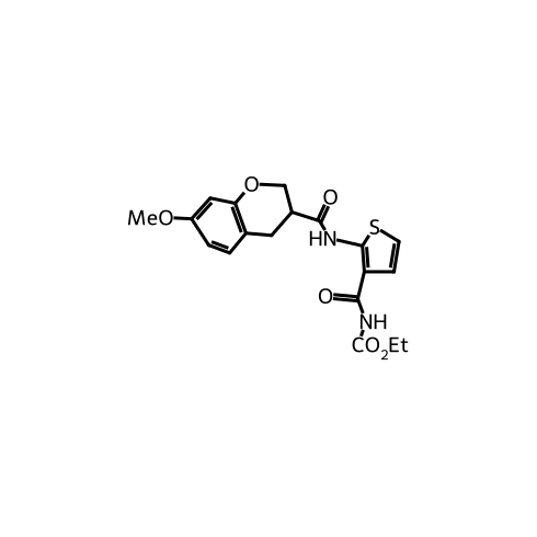 CCOC(=O)NC(=O)c1ccsc1NC(=O)C1COc2cc(OC)ccc2C1